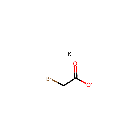 O=C([O-])CBr.[K+]